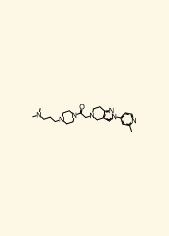 Cc1cc(-n2cc3c(n2)CCN(CC(=O)N2CCN(CCCN(C)C)CC2)C3)ccn1